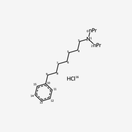 CCCN(CCC)CCCCCCCc1ccccc1.Cl